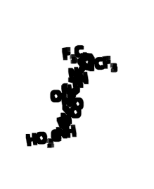 CN1C(=O)N(CC(=O)N2CC(NC(=O)O)C2)C(=O)C1=Cn1cnc(-c2cc(C(F)(F)F)cc(C(F)(F)F)c2)n1